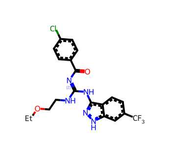 CCOCCN/C(=N/C(=O)c1ccc(Cl)cc1)Nc1n[nH]c2cc(C(F)(F)F)ccc12